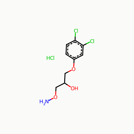 Cl.NOCC(O)COc1ccc(Cl)c(Cl)c1